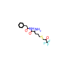 N[C@@H](CCCSCC(=O)C(F)(F)F)C(=O)NC(=O)Cc1ccccc1